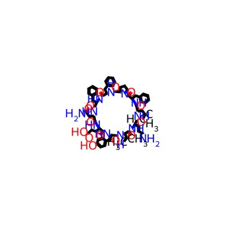 CC(C)CC1NC(=O)C(CCCN)NC(=O)C(C(C)C)NC(=O)C(Cc2ccc(O)cc2)NC(=O)C(CCC(=O)O)NC(=O)C(CC(N)=O)NC(=O)C(Cc2ccccc2)NC(=O)C(Cc2ccccc2)NC(=O)C2CCCN2C(=O)C(Cc2ccccc2)NC1=O